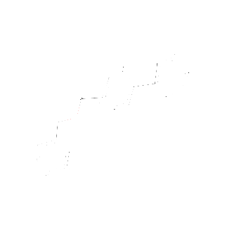 O=C(OCc1ccccc1)c1ccc(-c2ccccc2Cl)cc1